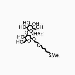 CSCCCCCOCCOC1OC(CO)C(O)C(OC2OC(CO)C(O)C(O)C2O)C1NC(C)=O